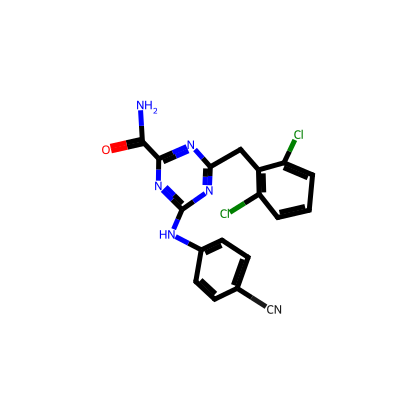 N#Cc1ccc(Nc2nc(Cc3c(Cl)cccc3Cl)nc(C(N)=O)n2)cc1